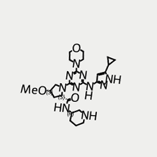 CO[C@H]1C[C@@H](C(=O)N[C@@H]2CCCNC2)N(c2nc(Nc3cc(C4CC4)[nH]n3)nc(N3CCOCC3)n2)C1